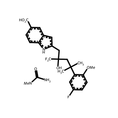 CNC(N)=O.COc1ccc(F)cc1C(C)(C)CC(O)(Cc1cc2cc(C(=O)O)ccc2[nH]1)C(F)(F)F